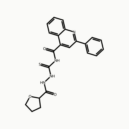 O=C(NC(=S)NNC(=O)C1CCCO1)c1cc(-c2ccccc2)nc2ccccc12